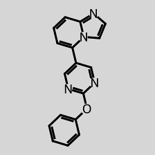 c1ccc(Oc2ncc(-c3cccc4nccn34)cn2)cc1